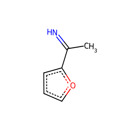 CC(=N)c1ccco1